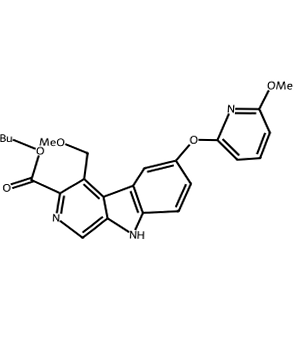 COCc1c(C(=O)OC(C)(C)C)ncc2[nH]c3ccc(Oc4cccc(OC)n4)cc3c12